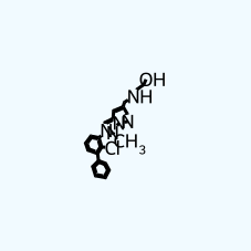 CN1N2N=CC(CNCCO)=CC2=CN1c1cccc(-c2ccccc2)c1Cl